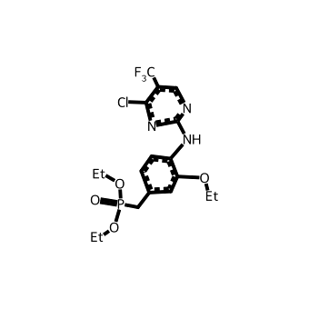 CCOc1cc(CP(=O)(OCC)OCC)ccc1Nc1ncc(C(F)(F)F)c(Cl)n1